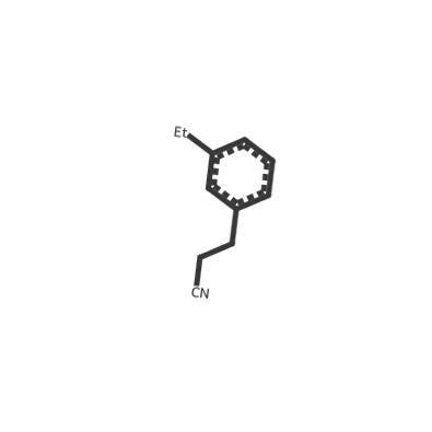 CCc1cccc(CCC#N)c1